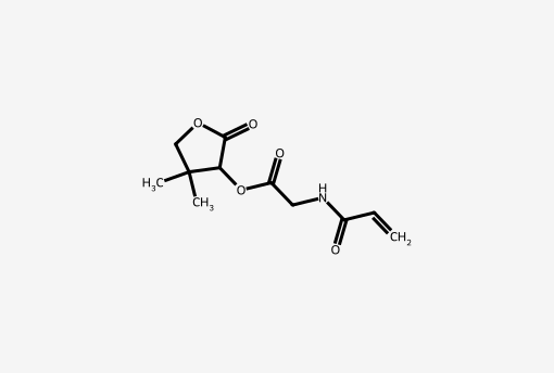 C=CC(=O)NCC(=O)OC1C(=O)OCC1(C)C